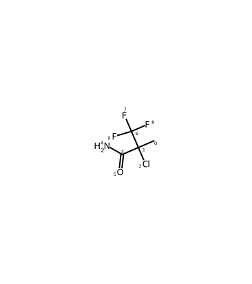 CC(Cl)(C(N)=O)C(F)(F)F